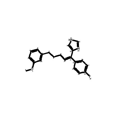 COc1cccc(CCCC=C(c2ccc(F)cc2)c2c[nH]cn2)c1